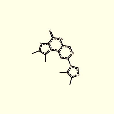 Cc1ncn(-c2ncc3[nH]c(=O)c4nc(C)c(C)n4c3n2)c1C